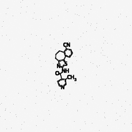 Cc1cnccc1C(=O)Nc1nc2c(s1)-c1cccc(C#N)c1CCC2